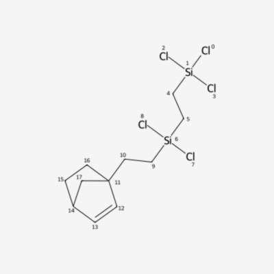 Cl[Si](Cl)(Cl)CC[Si](Cl)(Cl)CCC12C=CC(CC1)C2